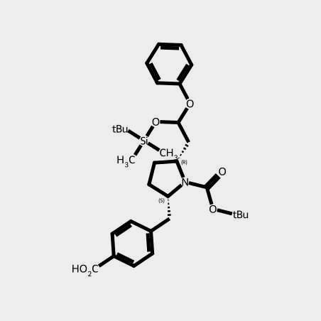 CC(C)(C)OC(=O)N1[C@@H](CC(Oc2ccccc2)O[Si](C)(C)C(C)(C)C)CC[C@H]1Cc1ccc(C(=O)O)cc1